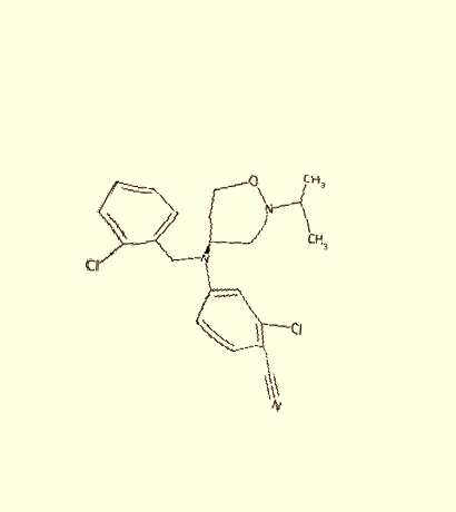 CC(C)N1C[C@@H](N(Cc2ccccc2Cl)c2ccc(C#N)c(Cl)c2)CCO1